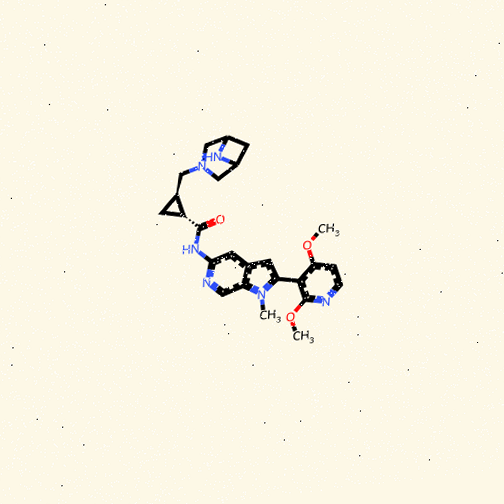 COc1ccnc(OC)c1-c1cc2cc(NC(=O)[C@@H]3C[C@H]3CN3CC4CC(C3)N4)ncc2n1C